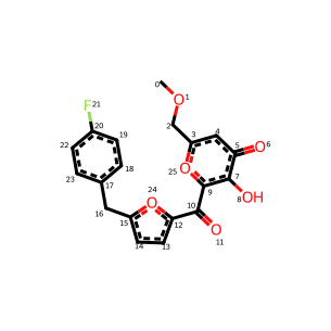 COCc1cc(=O)c(O)c(C(=O)c2ccc(Cc3ccc(F)cc3)o2)o1